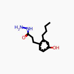 CCCCc1cc(O)ccc1CCC(=O)NN